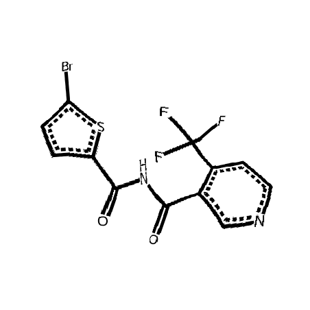 O=C(NC(=O)c1cnccc1C(F)(F)F)c1ccc(Br)s1